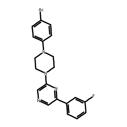 CC(=O)c1ccc(N2CCN(c3cncc(-c4cccc(F)c4)n3)CC2)cc1